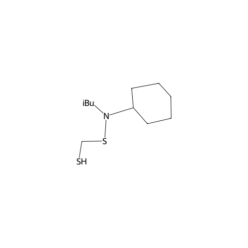 CCC(C)N(SCS)C1CCCCC1